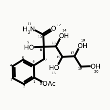 CC(=O)Oc1ccccc1CC(O)(C(N)=O)C(O)C(O)C(O)CO